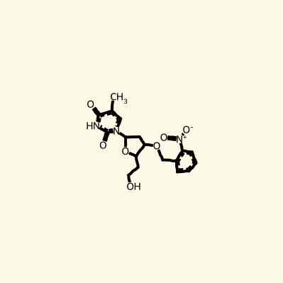 Cc1cn(C2CC(OCc3ccccc3[N+](=O)[O-])C(CCO)O2)c(=O)[nH]c1=O